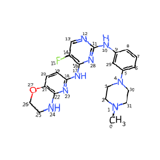 CN1CCN(c2cccc(Nc3ncc(F)c(Nc4ccc5c(n4)NCCO5)n3)c2)CC1